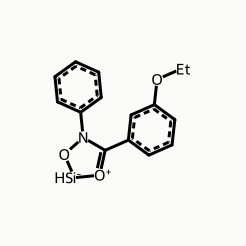 CCOc1cccc(C2=[O+][SiH-]ON2c2ccccc2)c1